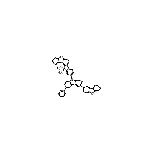 CC1(C)c2cc(-n3c4ccc(-c5ccccc5)cc4c4cc(-c5ccc6oc7ccccc7c6c5)ccc43)ccc2-c2ccc3oc4ccccc4c3c21